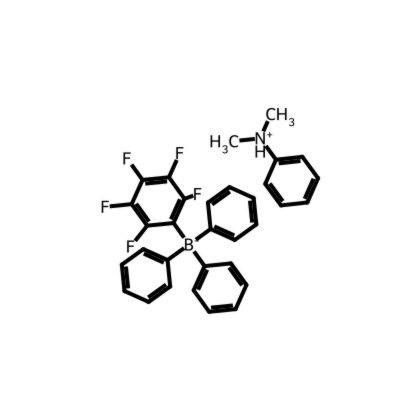 C[NH+](C)c1ccccc1.Fc1c(F)c(F)c([B-](c2ccccc2)(c2ccccc2)c2ccccc2)c(F)c1F